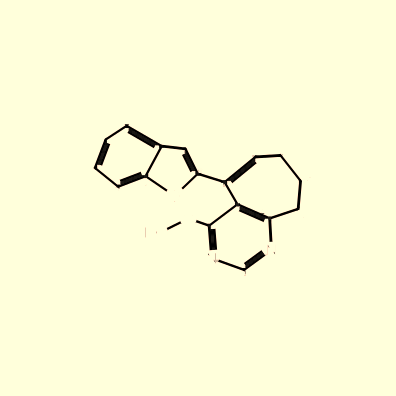 COc1ncnc2c1C(c1cc3ccccc3o1)=CCCC2